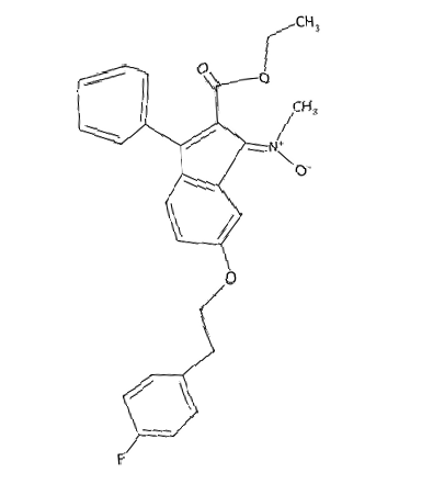 CCOC(=O)C1=C(c2ccccc2)c2ccc(OCCc3ccc(F)cc3)cc2/C1=[N+](/C)[O-]